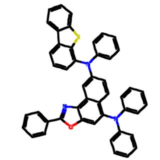 c1ccc(-c2nc3c(cc(N(c4ccccc4)c4ccccc4)c4ccc(N(c5ccccc5)c5cccc6c5sc5ccccc56)cc43)o2)cc1